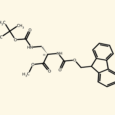 COC(=O)[C@H](CNC(=O)OC(C)(C)C)NC(=O)OCC1c2ccccc2-c2ccccc21